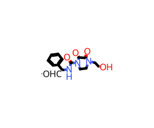 O=[C]C(NC(=O)N1CCN(CCO)C(=O)C1=O)c1ccccc1